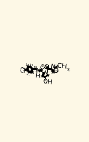 Cc1nc(C(=O)N2C[C@H](O)C[C@H]2C(=O)NCc2ccc(Cl)cc2)co1